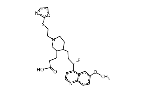 COc1ccc2nccc([C@@H](F)CCC3CCN(CCSc4ncco4)CC3CCC(=O)O)c2c1